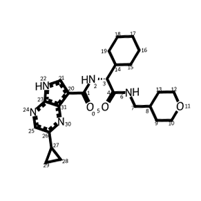 O=C(N[C@@H](C(=O)NCC1CCOCC1)C1CCCCC1)c1c[nH]c2ncc(C3CC3)nc12